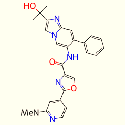 CNc1cc(-c2nc(C(=O)Nc3cn4cc(C(C)(C)O)nc4cc3-c3ccccc3)co2)ccn1